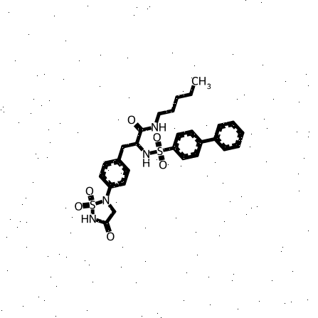 CCCCCNC(=O)C(Cc1ccc(N2CC(=O)NS2(=O)=O)cc1)NS(=O)(=O)c1ccc(-c2ccccc2)cc1